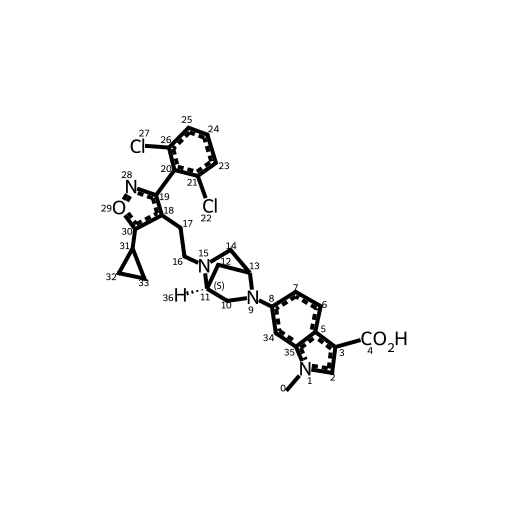 Cn1cc(C(=O)O)c2ccc(N3C[C@@H]4CC3CN4CCc3c(-c4c(Cl)cccc4Cl)noc3C3CC3)cc21